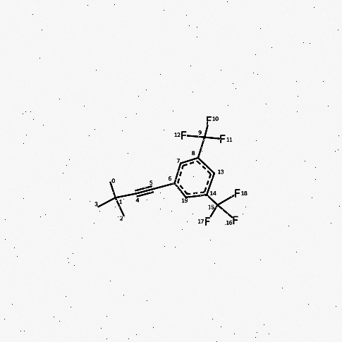 CC(C)(C)C#Cc1cc(C(F)(F)F)cc(C(F)(F)F)c1